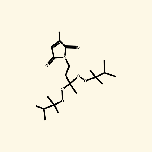 CC1=CC(=O)N(CCC(C)(OOC(C)(C)C(C)C)OOC(C)(C)C(C)C)C1=O